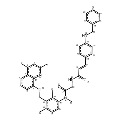 Cc1cc(C)c2cccc(OCc3c(C)ccc(N(C)C(=O)CNC(=O)C=Cc4ccc(NCc5ccncc5)cc4)c3C)c2n1